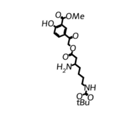 COC(=O)c1cc(C(=O)COC(=O)CC(N)CCCCNC(=O)OC(C)(C)C)ccc1O